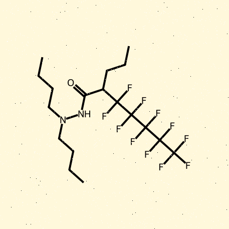 CCCCN(CCCC)NC(=O)C(CCC)C(F)(F)C(F)(F)C(F)(F)C(F)(F)C(F)(F)F